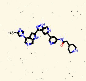 Cc1cn(-c2cncc3[nH]c(-c4n[nH]c5cnc(-c6cncc(NC(=O)CC7CCNCC7)c6)cc45)cc23)cn1